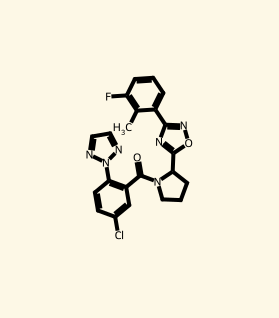 Cc1c(F)cccc1-c1noc(C2CCCN2C(=O)c2cc(Cl)ccc2-n2nccn2)n1